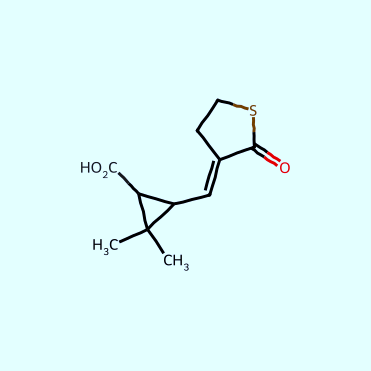 CC1(C)C(C=C2CCSC2=O)C1C(=O)O